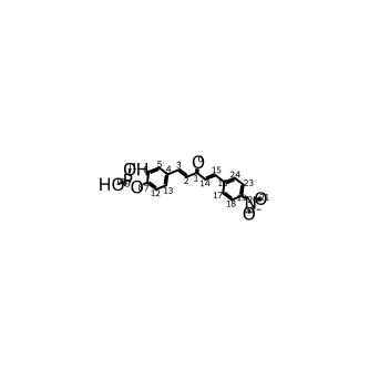 O=C(/C=C/c1ccc(OP(O)O)cc1)/C=C/c1ccc([N+](=O)[O-])cc1